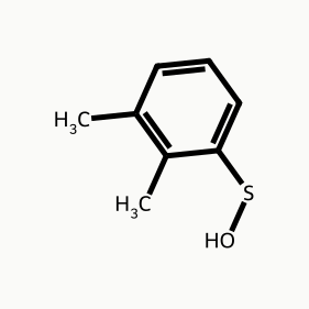 Cc1cccc(SO)c1C